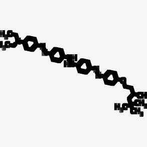 CCN(CC)c1ccc(/N=N/c2ccc(NNc3ccc(/N=N/c4ccc(OCCC(C)CC(C)(C)C)cc4)cc3)cc2)cc1